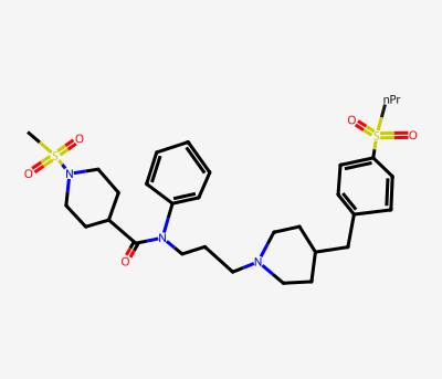 CCCS(=O)(=O)c1ccc(CC2CCN(CCCN(C(=O)C3CCN(S(C)(=O)=O)CC3)c3ccccc3)CC2)cc1